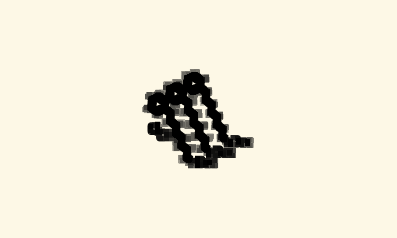 CCCCCCCCCCCCCCCCCCc1ccccc1.CCCCCCCCCCCCCCCCCCc1ccccc1.CCCCCCCCCCCCCCCCCCc1ccccc1.CCl